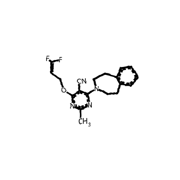 Cc1nc(OCC=C(F)F)c(C#N)c(N2CCc3ccccc3CC2)n1